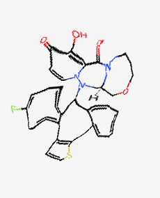 O=C1c2c(O)c(=O)ccn2N([C@@H]2c3ccc(F)cc3-c3ccsc3-c3ccccc32)[C@@H]2COCCN12